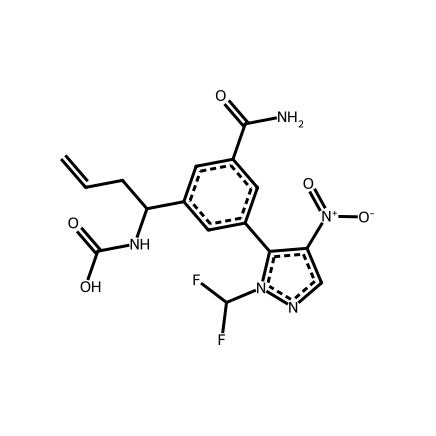 C=CCC(NC(=O)O)c1cc(C(N)=O)cc(-c2c([N+](=O)[O-])cnn2C(F)F)c1